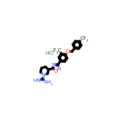 Cl.N=C(N)N1CCCC(c2nc(-c3ccc(OCc4ccc(C(F)(F)F)cc4)c(C(F)(F)F)c3)no2)C1